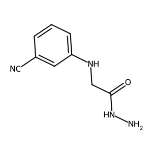 N#Cc1cccc(NCC(=O)NN)c1